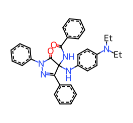 CCN(CC)c1ccc(NC2(NC(=O)c3ccccc3)C(=O)N(c3ccccc3)N=C2c2ccccc2)cc1